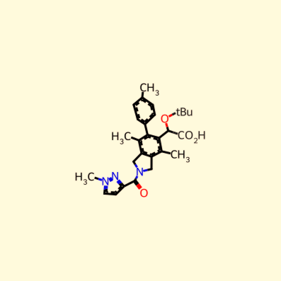 Cc1ccc(-c2c(C)c3c(c(C)c2C(OC(C)(C)C)C(=O)O)CN(C(=O)c2ccn(C)n2)C3)cc1